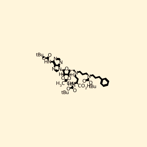 CC(C)(C)OC(=O)Nc1ncnc2c1ncn2[C@@H]1O[C@H](CN(CCCN(CCCc2ccccc2)C(=O)OC(C)(C)C)CC[C@H](NC(=O)OC(C)(C)C)C(=O)O)[C@H]2OC(C)(C)O[C@H]21